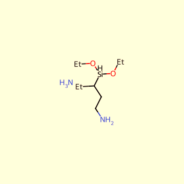 CCO[SiH](OCC)C(CC)CCN.N